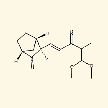 C=C1[C@@H]2CC[C@@H](C2)[C@@]1(C)/C=C/C(=O)C(C)C(OC)OC